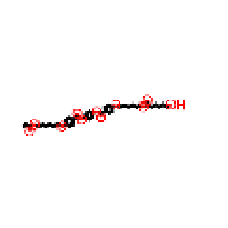 C=CC(=O)OCCCCCCOc1ccc(C(=O)Oc2ccc(OC(=O)c3ccc(OCCCCCCOC(=O)CCCCCO)cc3)cc2)cc1